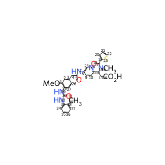 COc1cc(CC(=O)Nc2ccc(C(CC(=O)O)N(C)C(=O)c3cccs3)nc2)ccc1NC(=O)Nc1ccccc1C